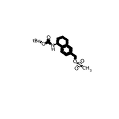 CC(C)(C)OC(=O)N[C@H]1CCCc2cc(COS(C)(=O)=O)ccc21